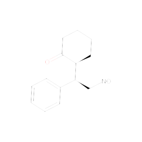 O=NC[C@@H](c1ccccc1)[C@@H]1CCCCC1=O